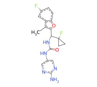 Cc1c(C(NC(=O)Nc2cnc(N)nc2)C2(F)CC2)oc2ccc(F)cc12